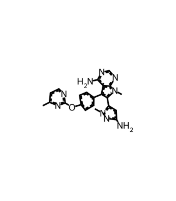 Cc1ccnc(Oc2ccc(-c3c(-c4cc(N)nn4C)n(C)c4ncnc(N)c34)cc2)n1